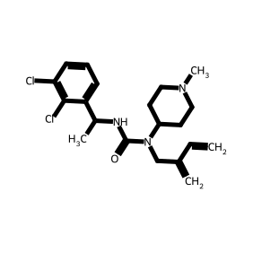 C=CC(=C)CN(C(=O)NC(C)c1cccc(Cl)c1Cl)C1CCN(C)CC1